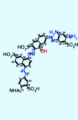 CC(=O)Nc1ccc(N=Nc2ccc(N=Nc3c(S(=O)(=O)O)cc4ccc(N=Nc5cc(S(=O)(=O)O)c(N)cc5N)cc4c3O)c3cc(S(=O)(=O)O)ccc23)cc1S(=O)(=O)O